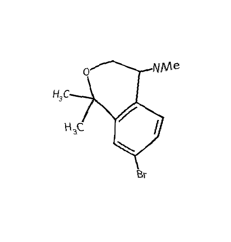 CNC1COC(C)(C)c2cc(Br)ccc21